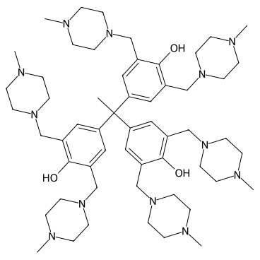 CN1CCN(Cc2cc(C(C)(c3cc(CN4CCN(C)CC4)c(O)c(CN4CCN(C)CC4)c3)c3cc(CN4CCN(C)CC4)c(O)c(CN4CCN(C)CC4)c3)cc(CN3CCN(C)CC3)c2O)CC1